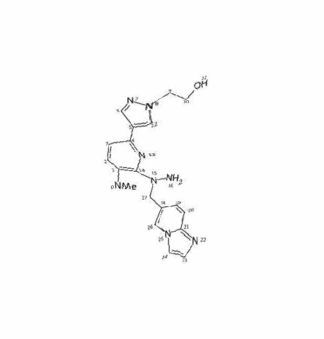 CNc1ccc(-c2cnn(CCO)c2)nc1N(N)Cc1ccc2nccn2c1